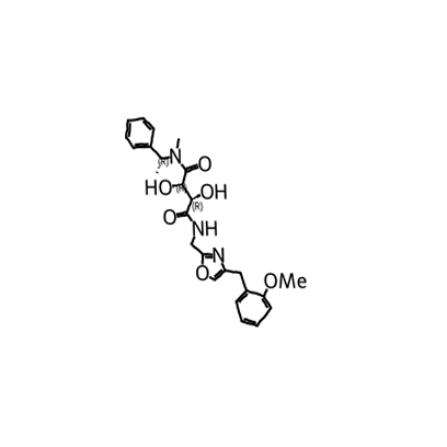 COc1ccccc1Cc1coc(CNC(=O)[C@H](O)[C@@H](O)C(=O)N(C)[C@H](C)c2ccccc2)n1